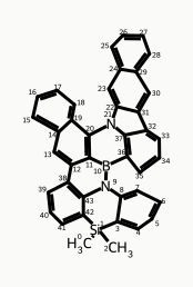 C[Si]1(C)c2ccccc2N2B3c4c(cc5ccccc5c4-n4c5cc6ccccc6cc5c5cccc3c54)-c3cccc1c32